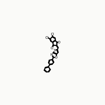 O=C1C(=Cc2cc3oc(-c4ccc(-c5ccccc5)cc4)nc3s2)C(=O)c2cc(Cl)c(Cl)cc21